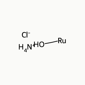 [Cl-].[NH4+].[OH][Ru]